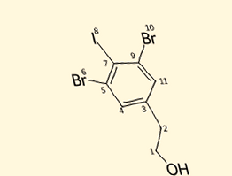 OCCc1cc(Br)c(I)c(Br)c1